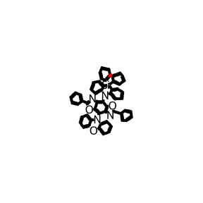 c1ccc(-c2nc3c(N4c5ccccc5[Si](c5ccccc5)(c5ccccc5)c5ccccc54)c4oc(-c5ccccc5)nc4c(N4c5ccccc5Oc5ccccc54)c3o2)cc1